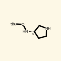 CC(C)(C)ON[C@H]1CCNC1